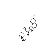 CC(=O)N1CCC[C@H](C(=O)Nc2nc3ccc4cc(F)ccc4c3s2)C1